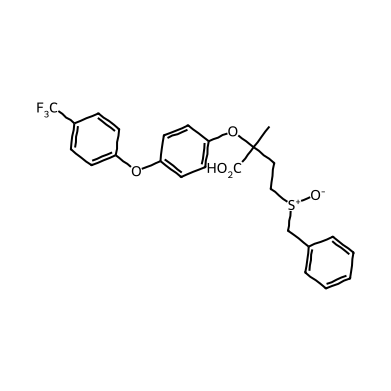 CC(CC[S+]([O-])Cc1ccccc1)(Oc1ccc(Oc2ccc(C(F)(F)F)cc2)cc1)C(=O)O